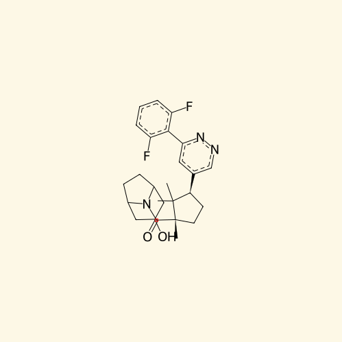 CC1(C)[C@@H](c2cnnc(-c3c(F)cccc3F)c2)CC[C@]1(C)C(=O)N1C2CCC1CC(O)C2